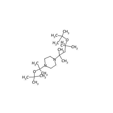 CC(C)(C)OC(C)(C)CC(C)(C)N1CCN(C(C)(C)OC(C)(C)C)CC1